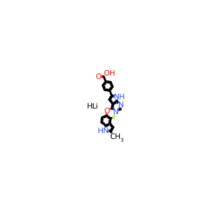 Cc1cc2c(F)c(Oc3ncnc4[nH]c(-c5ccc(C(=O)O)cc5)cc34)ccc2[nH]1.[LiH]